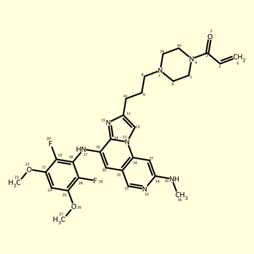 C=CC(=O)N1CCN(CCCc2cn3c(n2)c(Nc2c(F)c(OC)cc(OC)c2F)cc2cnc(NC)cc23)CC1